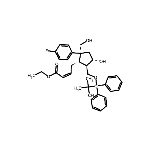 CCOC(=O)/C=C\C[C@H]1[C@H](CO[Si](c2ccccc2)(c2ccccc2)C(C)(C)C)[C@@H](O)C[C@]1(CO)c1ccc(F)cc1